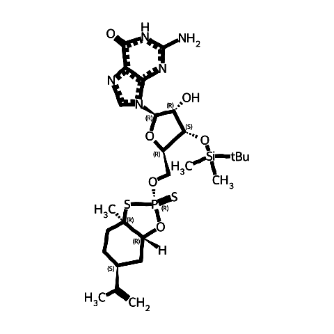 C=C(C)[C@H]1CC[C@@]2(C)S[P@](=S)(OC[C@H]3O[C@@H](n4cnc5c(=O)[nH]c(N)nc54)[C@H](O)[C@@H]3O[Si](C)(C)C(C)(C)C)O[C@@H]2C1